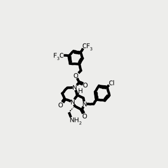 NC[C@H]1C(=O)N(Cc2ccc(Cl)cc2)C[C@@H]2N(C(=O)OCc3cc(C(F)(F)F)cc(C(F)(F)F)c3)CCC(=O)N21